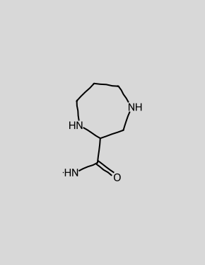 [NH]C(=O)C1CNCCCN1